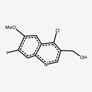 COc1cc2c(Cl)c(CO)cnc2cc1I